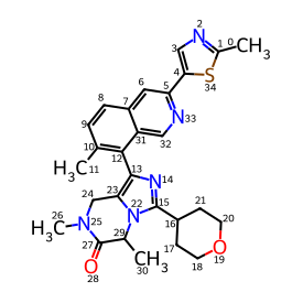 Cc1ncc(-c2cc3ccc(C)c(-c4nc(C5CCOCC5)n5c4CN(C)C(=O)C5C)c3cn2)s1